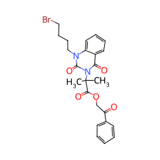 CC(C)(C(=O)OCC(=O)c1ccccc1)n1c(=O)c2ccccc2n(CCCCBr)c1=O